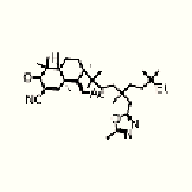 CCC(C)(C)CC[C@@](C)(CCC(C)(C)[C@]1(C)CC[C@H]2C(C)(C)C(=O)C(C#N)=C[C@]2(C)/C1=C/C(C)=O)Cc1nnc(C)o1